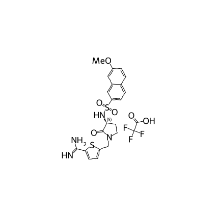 COc1ccc2ccc(S(=O)(=O)N[C@H]3CCN(Cc4ccc(C(=N)N)s4)C3=O)cc2c1.O=C(O)C(F)(F)F